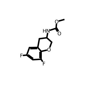 COC(=O)NC1COc2c(F)cc(F)cc2C1